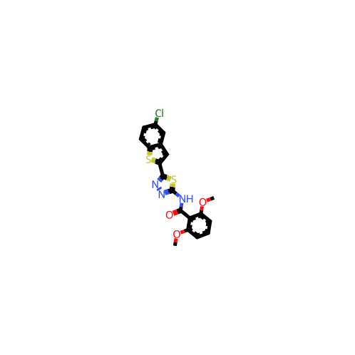 COc1cccc(OC)c1C(=O)Nc1nnc(-c2cc3cc(Cl)ccc3s2)s1